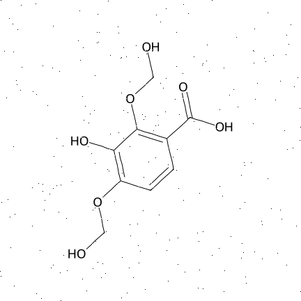 O=C(O)c1ccc(OCO)c(O)c1OCO